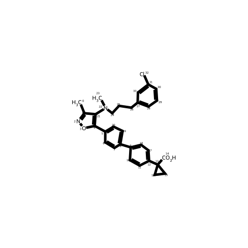 Cc1noc(-c2ccc(-c3ccc(C4(C(=O)O)CC4)cc3)cc2)c1N(C)CCCc1cccc(Cl)c1